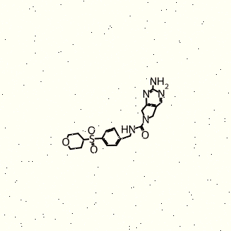 Nc1ncc2c(n1)CN(C(=O)NCc1ccc(S(=O)(=O)C3CCOCC3)cc1)C2